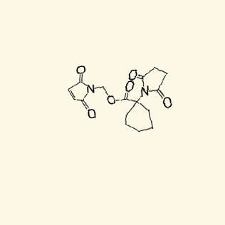 O=C1C=CC(=O)N1COC(=O)C1(N2C(=O)CCC2=O)CCCCC1